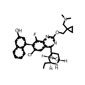 CC[C@@H]1N[C@H]2CC[C@@H]1N(c1nc(OCC3(CN(C)C)CC3)nc3c(F)c(-c4cc(O)cc5ccccc45)c(Cl)cc13)C2